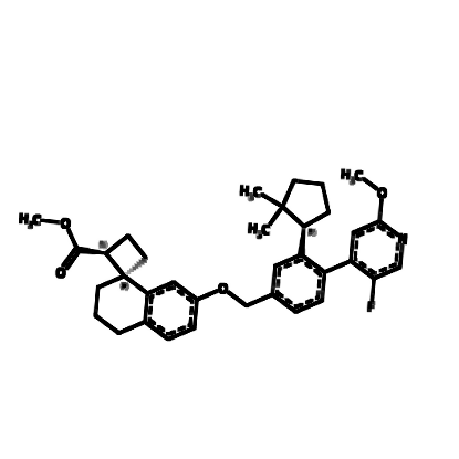 COC(=O)[C@H]1CC[C@]12CCCc1ccc(OCc3ccc(-c4cc(OC)ncc4F)c([C@@H]4CCCC4(C)C)c3)cc12